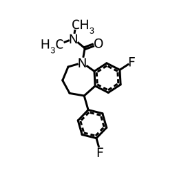 CN(C)C(=O)N1CCCC(c2ccc(F)cc2)c2ccc(F)cc21